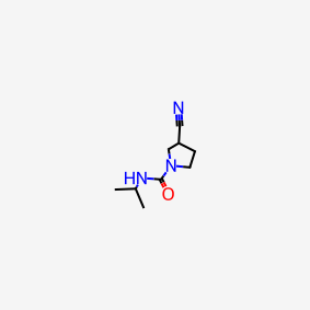 CC(C)NC(=O)N1CCC(C#N)C1